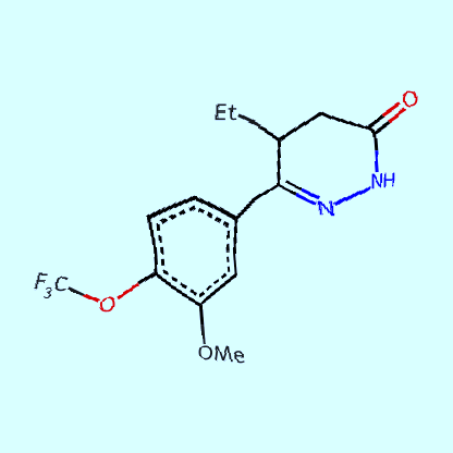 CCC1CC(=O)NN=C1c1ccc(OC(F)(F)F)c(OC)c1